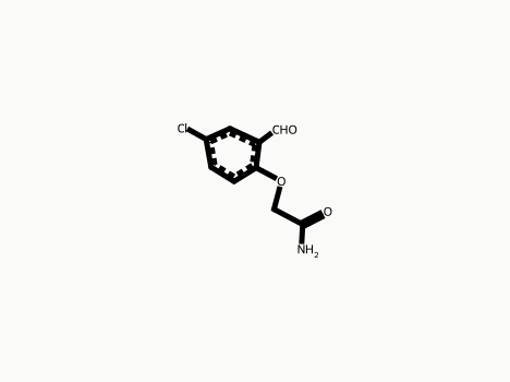 NC(=O)COc1ccc(Cl)cc1C=O